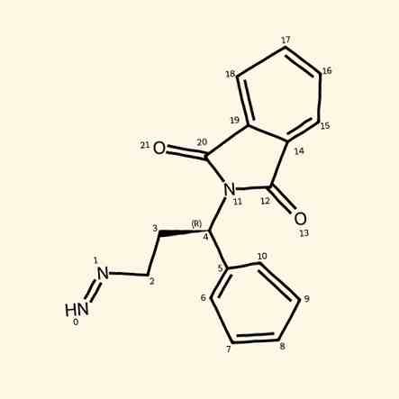 N=NCC[C@H](c1ccccc1)N1C(=O)c2ccccc2C1=O